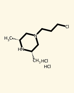 C[C@@H]1CN(CCCCl)C[C@H](C)N1.Cl.Cl